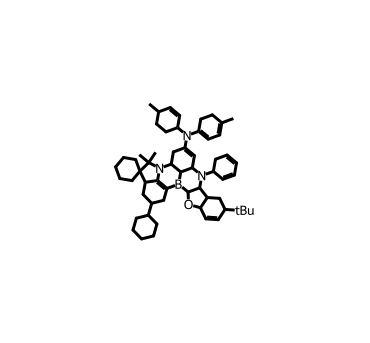 CC1=CC=C(N(C2=CC3C4B(C5=C6C(CC(C7CCCCC7)C5)C5(CCCCC5)C(C)(C)N6C4C2)C2OC4C=CC(C(C)(C)C)CC4C2N3C2C=CC=CC2)C2C=CC(C)CC2)CC1